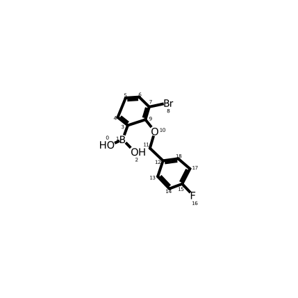 OB(O)c1cccc(Br)c1OCc1ccc(F)cc1